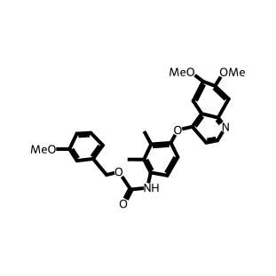 COc1cccc(COC(=O)Nc2ccc(Oc3ccnc4cc(OC)c(OC)cc34)c(C)c2C)c1